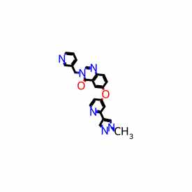 Cn1cc(-c2cc(Oc3ccc4ncn(Cc5cccnc5)c(=O)c4c3)ccn2)cn1